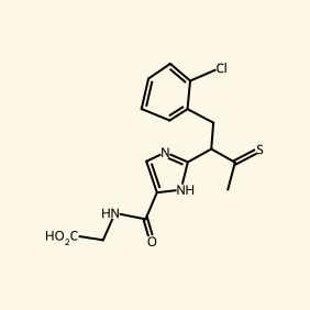 CC(=S)C(Cc1ccccc1Cl)c1ncc(C(=O)NCC(=O)O)[nH]1